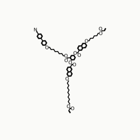 C=CC(=O)OCCCCCCCCCCCOc1ccc2cc(C(=O)Oc3ccc(OC(=O)c4ccc5cc(OCCCCCCOC(=O)C=C)ccc5c4)cc3C(=O)OCCCCCCCCOc3ccc(-c4ccc(C#N)cc4)cc3)ccc2c1